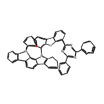 C1=Cc2c(n(-c3cccc4c3oc3c(-c5nc(-c6ccccc6)nc(-c6ccccc6)n5)cccc34)c3c2ccc2c4ccccc4n(-c4ccccc4)c23)CC1